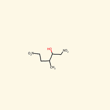 CC(CC[N+](=O)[O-])C(O)C[N+](=O)[O-]